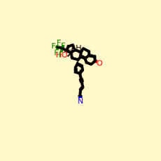 C[C@]12C[C@H](c3ccc(C#CC=CC#N)cc3)C3=C4CCC(=O)C=C4CC[C@H]3[C@@H]1CC[C@@]2(O)C(F)(F)C(F)(F)F